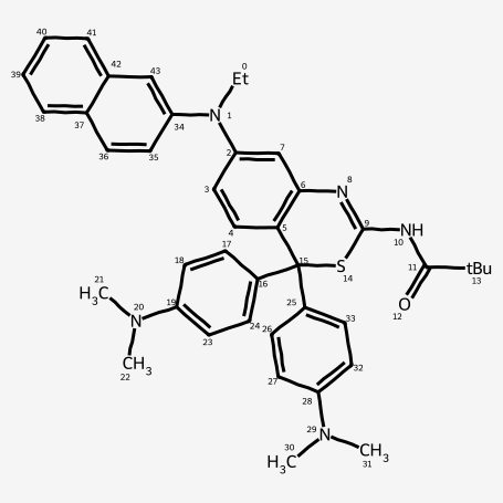 CCN(c1ccc2c(c1)N=C(NC(=O)C(C)(C)C)SC2(c1ccc(N(C)C)cc1)c1ccc(N(C)C)cc1)c1ccc2ccccc2c1